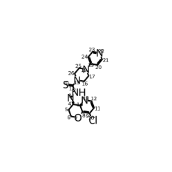 S=C(N/N=C1/CCOc2c(Cl)ccnc21)N1CCN(c2ccncc2)CC1